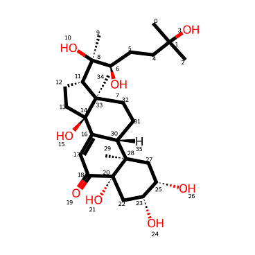 CC(C)(O)CC[C@@H](O)[C@](C)(O)[C@H]1CC[C@@]2(O)C3=CC(=O)[C@]4(O)C[C@@H](O)[C@@H](O)C[C@]4(C)[C@H]3CC[C@]12C